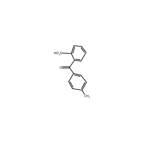 Cc1ccc(C(=O)c2ccccc2S(=O)(=O)O)cc1